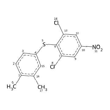 Cc1ccc(Sc2c(Cl)cc([N+](=O)[O-])cc2Cl)cc1C